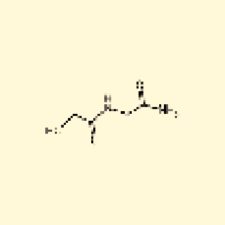 NC(=O)CNC(=O)CO